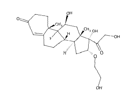 C[C@]12CCC(=O)C=C1CC[C@H]1[C@@H]3C[C@@H](OCCO)[C@](O)(C(=O)CO)[C@@]3(C)C[C@H](O)C12F